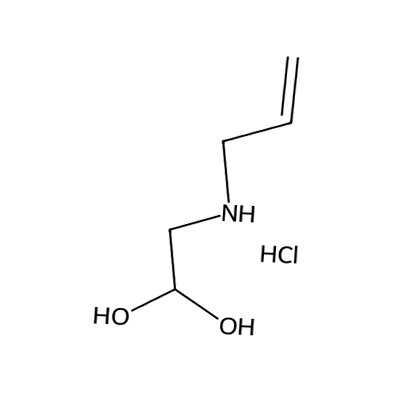 C=CCNCC(O)O.Cl